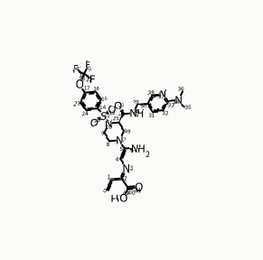 C=C/C(=N\C=C(/N)N1CCN(S(=O)(=O)c2ccc(OC(F)(F)F)cc2)[C@@H](C(=O)NCc2ccc(N(C)C)nc2)C1)C(=O)O